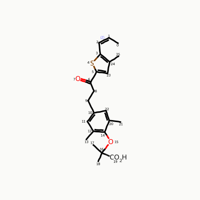 C/C=C\c1sc(C(=O)CCc2cc(C)c(OC(C)(C)C(=O)O)c(C)c2)cc1C